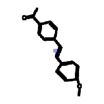 COc1ccc(/C=C/c2ccc(C(C)=O)cc2)cc1